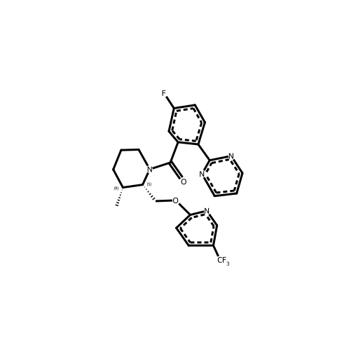 C[C@@H]1CCCN(C(=O)c2cc(F)ccc2-c2ncccn2)[C@@H]1COc1ccc(C(F)(F)F)cn1